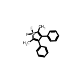 CC1=C(c2ccccc2)C(c2ccccc2)=C(C)[Si]1(F)F